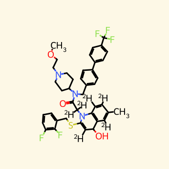 [2H]C1=C(SCc2cccc(F)c2F)N(C([2H])([2H])C(=O)N(Cc2ccc(-c3ccc(C(F)(F)F)cc3)cc2)C2CCN(CCOC)CC2)c2c([2H])c([2H])c(C)c([2H])c2C1O